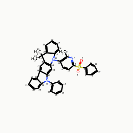 Cc1nc(S(=O)(=O)c2ccccc2)ccc1N1c2ccccc2C(C)(C)c2cc3c4ccccc4n(-c4ccccc4)c3cc21